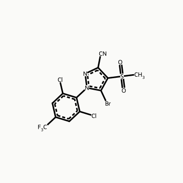 CS(=O)(=O)c1c(C#N)nn(-c2c(Cl)cc(C(F)(F)F)cc2Cl)c1Br